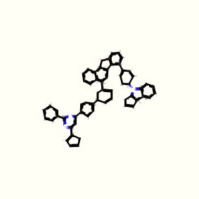 C1=CCC(c2cc(-c3ccc(C4C=CC=C(c5cc6c(c7ccccc57)Cc5cccc(C7=CCC(n8c9c(c%10ccccc%108)C=CC9)C=C7)c5-6)C4)cc3)nc(-c3ccccc3)n2)=C1